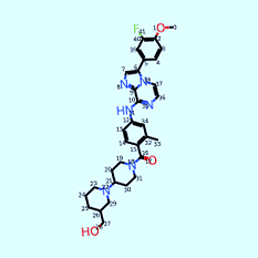 COc1ccc(-c2cnc3c(Nc4ccc(C(=O)N5CCC(N6CCCC(CO)C6)CC5)c(C)c4)nccn23)cc1F